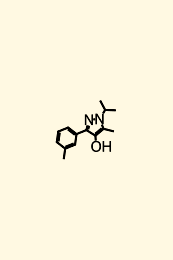 Cc1cccc(-c2nn(C(C)C)c(C)c2O)c1